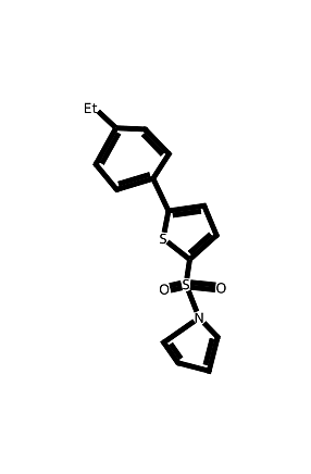 CCc1ccc(-c2ccc(S(=O)(=O)n3cccc3)s2)cc1